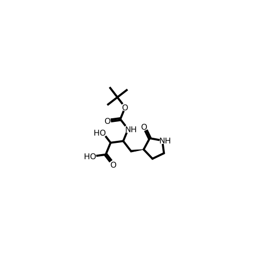 CC(C)(C)OC(=O)NC(C[C@@H]1CCNC1=O)C(O)C(=O)O